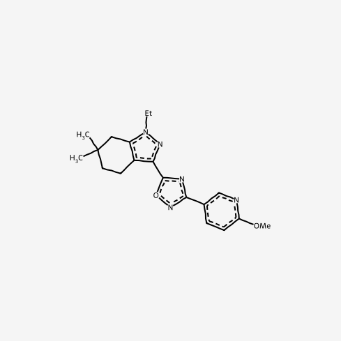 CCn1nc(-c2nc(-c3ccc(OC)nc3)no2)c2c1CC(C)(C)CC2